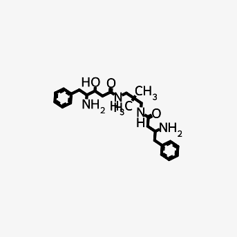 CC(C)(CNC(=O)CC(N)Cc1ccccc1)CNC(=O)CC(O)C(N)Cc1ccccc1